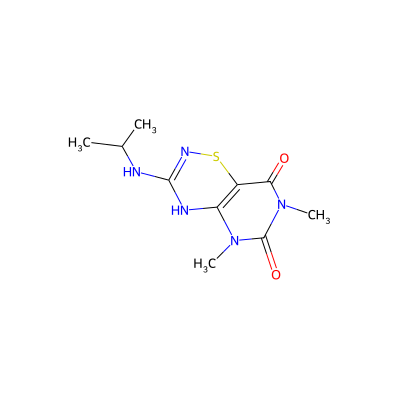 CC(C)NC1=NSc2c(n(C)c(=O)n(C)c2=O)N1